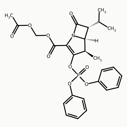 CC(=O)OCOC(=O)C1=C(OP(=O)(Oc2ccccc2)Oc2ccccc2)[C@H](C)[C@@H]2[C@@H](C(C)C)C(=O)N12